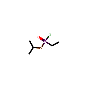 CCP(=O)(Cl)SC(C)C